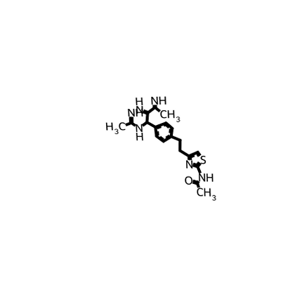 CC(=N)NC(C(=N)C(C)=N)c1ccc(CCc2csc(NC(C)=O)n2)cc1